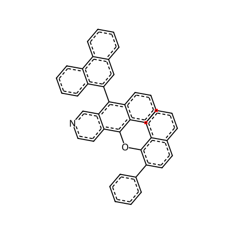 c1ccc(-c2ccc3ccccc3c2Oc2c3ccccc3c(-c3cc4ccccc4c4ccccc34)c3cnccc23)cc1